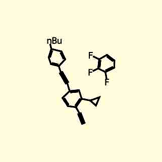 C#Cc1ccc(C#Cc2ccc(CCCC)cc2)cc1C1CC1.Fc1cccc(F)c1F